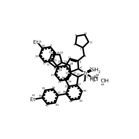 CC[CH2][Zr]([CH3])(=[SiH2])([CH]1C(CC2CCCC2)=Cc2c(-c3ccc(CC)cc3)cccc21)[CH]1C(CC2CCCC2)=Cc2c(-c3ccc(CC)cc3)cccc21.Cl.Cl